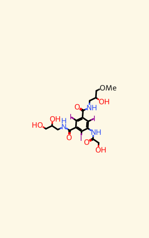 COCC(O)CNC(=O)c1c(I)c(NC(=O)CO)c(I)c(C(=O)NCC(O)CO)c1I